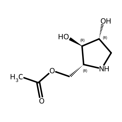 CC(=O)OC[C@H]1NC[C@@H](O)[C@@H]1O